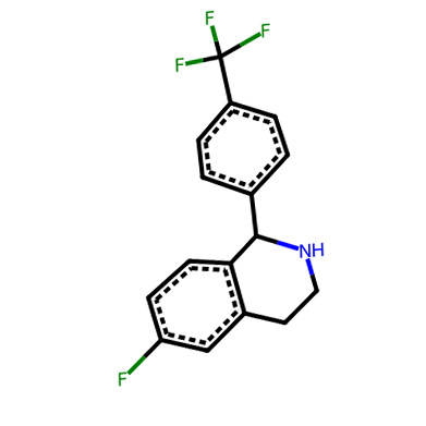 Fc1ccc2c(c1)CCNC2c1ccc(C(F)(F)F)cc1